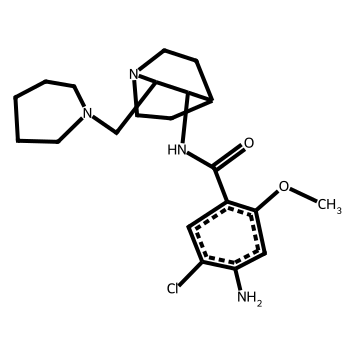 COc1cc(N)c(Cl)cc1C(=O)NC1C2CCN(CC2)C1CN1CCCCC1